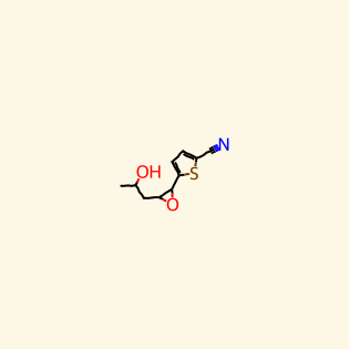 CC(O)CC1OC1c1ccc(C#N)s1